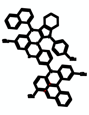 CC(C)(C)c1ccc(N(c2ccc3c(c2)Sc2cc(C(C)(C)C)cc4c2B3c2c(c3c(n2-c2ccc(C(C)(C)C)cc2)CCCC3)N4c2cccc3ccccc23)c2ccc(C(C)(C)C)cc2-c2cccc3ccccc23)cc1